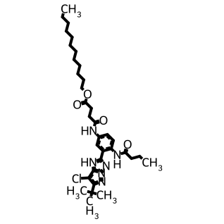 CCCCCCCCCCCCOC(=O)CCC(=O)Nc1ccc(NC(=O)CCC)c(-c2nn3nc(C(C)(C)C)c(Cl)c3[nH]2)c1